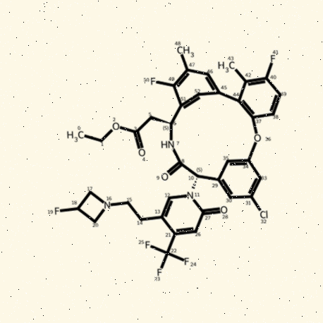 CCOC(=O)C[C@@H]1NC(=O)[C@@H](n2cc(CCN3CC(F)C3)c(C(F)(F)F)cc2=O)c2cc(Cl)cc(c2)Oc2ccc(F)c(C)c2-c2cc(C)c(F)c1c2